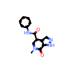 Cn1cc(C(=O)Nc2ccccc2)c2cn[nH]c2c1=O